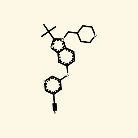 CC(C)(C)c1nc2cc(Sc3cncc(C#N)c3)ccc2n1CC1CCOCC1